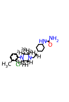 [2H]C1([2H])N(CC([2H])([2H])[C@H]2CC[C@H](NC(N)=O)CC2)C([2H])([2H])C([2H])([2H])N(c2cccc(C)c2Cl)C1([2H])[2H]